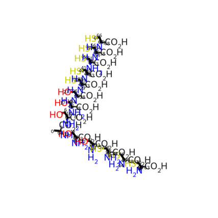 C[C@H](N)C(=O)O.N[C@@H](CO)C(=O)O.N[C@@H](CO)C(=O)O.N[C@@H](CO)C(=O)O.N[C@@H](CO)C(=O)O.N[C@@H](CO)C(=O)O.N[C@@H](CS)C(=O)O.N[C@@H](CS)C(=O)O.N[C@@H](CS)C(=O)O.N[C@@H](CS)C(=O)O.N[C@@H](CS)C(=O)O.N[C@@H](CS)C(=O)O.N[C@@H](CS)C(=O)O.N[C@@H](CS)C(=O)O